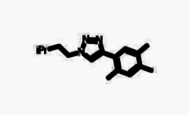 Cc1cc(C)c(-c2cn(CCC(C)C)nn2)cc1C